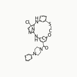 O=C(c1cc2cc(c1)OCCSc1cccc(c1)Nc1nc(ncc1Cl)N2)N1CCN(c2ccccc2)CC1